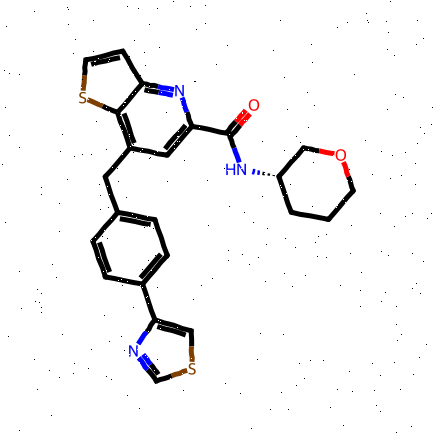 O=C(N[C@H]1CCCOC1)c1cc(Cc2ccc(-c3cscn3)cc2)c2sccc2n1